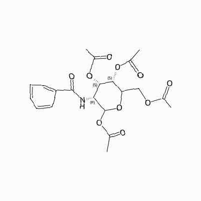 CC(=O)OCC1OC(OC(C)=O)[C@H](NC(=O)c2ccccc2)[C@H](OC(C)=O)[C@@H]1OC(C)=O